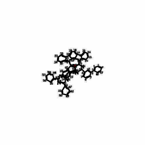 c1ccc(-c2cccc(-c3nc(-c4ccccc4)nc(-n4c5ccccc5c5ccc6c7ccccc7n(-c7cccc(-c8nc(-c9ccccc9)nc(-c9ccccc9)n8)c7)c6c54)n3)c2)cc1